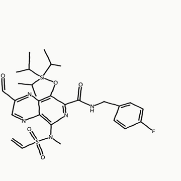 C=CS(=O)(=O)N(C)c1nc(C(=O)NCc2ccc(F)cc2)c(O[Si](C(C)C)(C(C)C)C(C)C)c2nc(C=O)cnc12